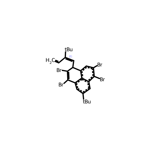 C=C/C(=C\C1C(Br)=C(Br)c2cc(C(C)(C)C)cc3c(Br)c(Br)cc1c23)C(C)(C)C